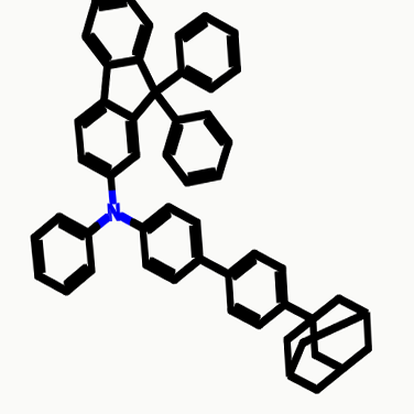 c1ccc(N(c2ccc(-c3ccc(C45CC6CC(CC(C6)C4)C5)cc3)cc2)c2ccc3c(c2)C(c2ccccc2)(c2ccccc2)c2ccccc2-3)cc1